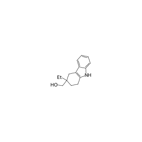 CCC1(CO)CCc2[nH]c3ccccc3c2C1